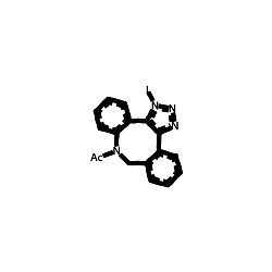 CC(=O)N1Cc2ccccc2-c2nnn(I)c2-c2ccccc21